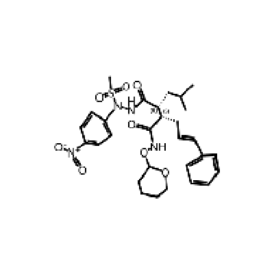 CC(C)C[C@@H](C(=O)NN(c1ccc([N+](=O)[O-])cc1)S(C)(=O)=O)[C@H](CC=Cc1ccccc1)C(=O)NOC1CCCCO1